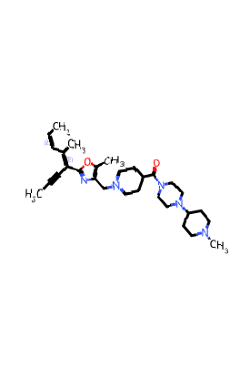 CC#C/C(=C(C)\C=C/C)c1nc(CN2CCC(C(=O)N3CCN(C4CCN(C)CC4)CC3)CC2)c(C)o1